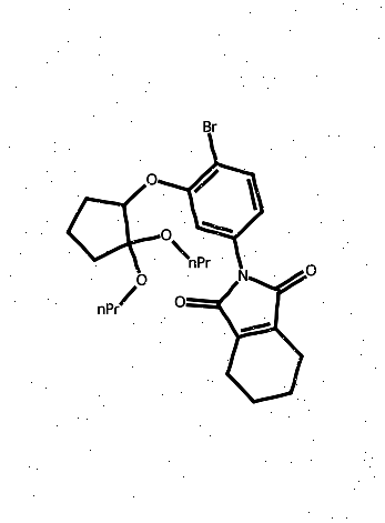 CCCOC1(OCCC)CCCC1Oc1cc(N2C(=O)C3=C(CCCC3)C2=O)ccc1Br